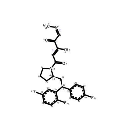 C/N=C\C(=O)/C(O)=C/C(=O)N1CCC[C@@H]1C[C@@H](c1ccc(F)cc1)c1cc(F)ccc1F